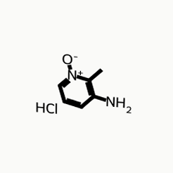 Cc1c(N)ccc[n+]1[O-].Cl